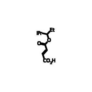 CCC(OC(=O)C=CC(=O)O)C(C)C